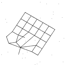 CC12C3CC4C5CC6C7C8CC9C%10C%11C%12CC%13C3C13C%13%12C%111C%10%11C89C78C65C5(C)C42C31C58%11